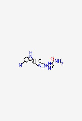 CC1CN(c2nccc(C(N)=O)n2)CCN1CCCc1c[nH]c2ccc(C#N)cc12